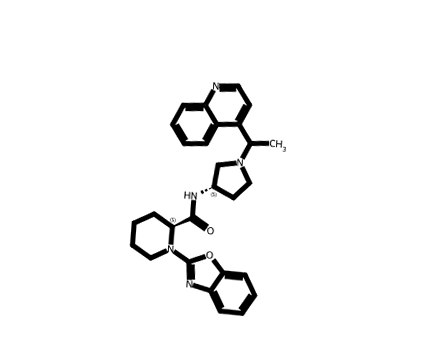 CC(c1ccnc2ccccc12)N1CC[C@H](NC(=O)[C@@H]2CCCCN2c2nc3ccccc3o2)C1